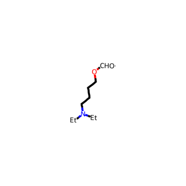 CCN(CC)CCCCO[C]=O